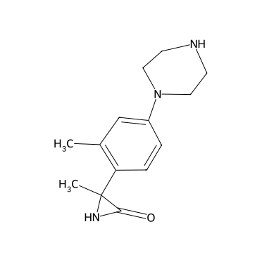 Cc1cc(N2CCNCC2)ccc1C1(C)NC1=O